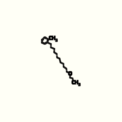 CCCOCCCCCCCCCCCCc1ccccc1C